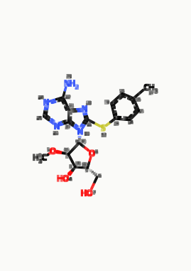 CO[C@@H]1[C@H](O)[C@@H](CO)O[C@H]1n1c(Sc2ccc(C)cc2)nc2c(N)ncnc21